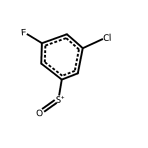 O=[S+]c1cc(F)cc(Cl)c1